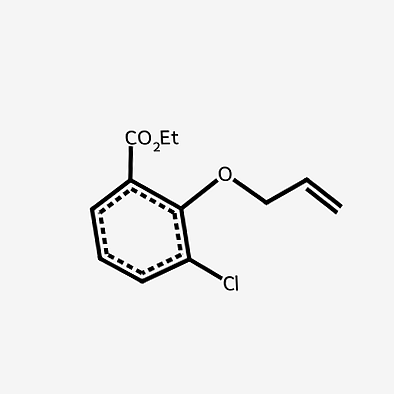 C=CCOc1c(Cl)cccc1C(=O)OCC